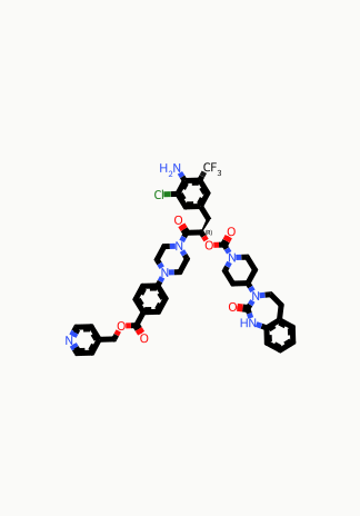 Nc1c(Cl)cc(C[C@@H](OC(=O)N2CCC(N3CCc4ccccc4NC3=O)CC2)C(=O)N2CCN(c3ccc(C(=O)OCc4ccncc4)cc3)CC2)cc1C(F)(F)F